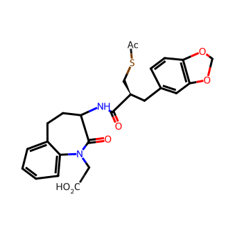 CC(=O)SC[C@@H](Cc1ccc2c(c1)OCO2)C(=O)NC1CCc2ccccc2N(CC(=O)O)C1=O